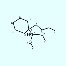 CCCCC1([SiH](OC)OC)CCCCC1